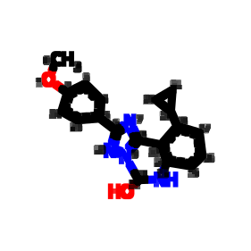 COc1ccc(-c2nc3n(n2)C(O)Nc2cccc(C4CC4)c2-3)cc1